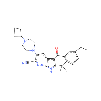 CCc1ccc2c(c1)C(=O)c1c([nH]c3nc(C#N)c(N4CCN(C5CCC5)CC4)cc13)C2(C)C